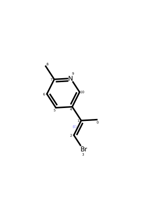 C/C(=C\Br)c1ccc(C)nc1